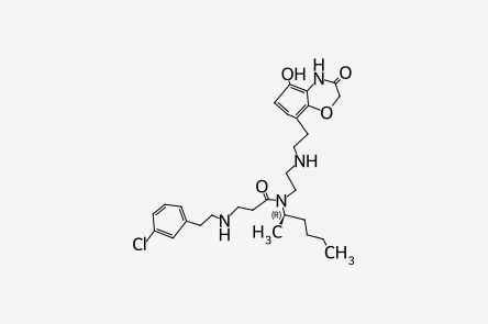 CCCC[C@@H](C)N(CCNCCc1ccc(O)c2c1OCC(=O)N2)C(=O)CCNCCc1cccc(Cl)c1